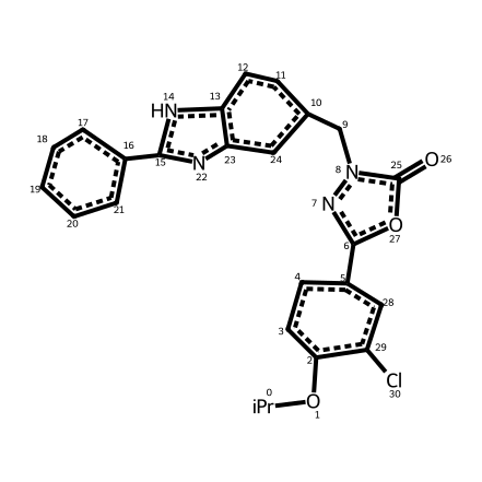 CC(C)Oc1ccc(-c2nn(Cc3ccc4[nH]c(-c5ccccc5)nc4c3)c(=O)o2)cc1Cl